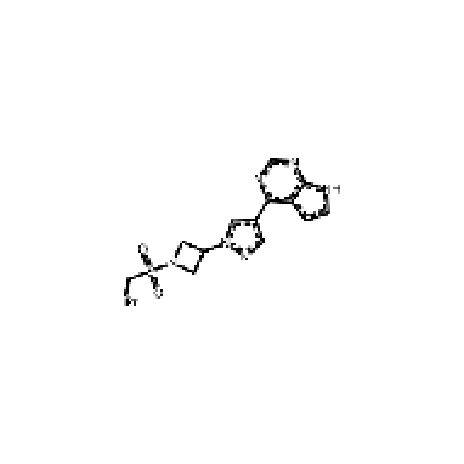 CC(C)CS(=O)(=O)N1C[C](n2cc(-c3ncnc4[nH]ccc34)cn2)C1